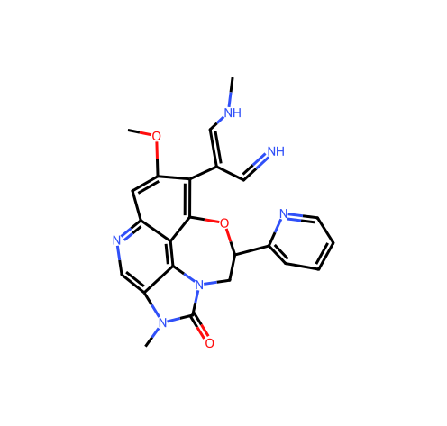 CN/C=C(\C=N)c1c(OC)cc2ncc3c4c2c1OC(c1ccccn1)Cn4c(=O)n3C